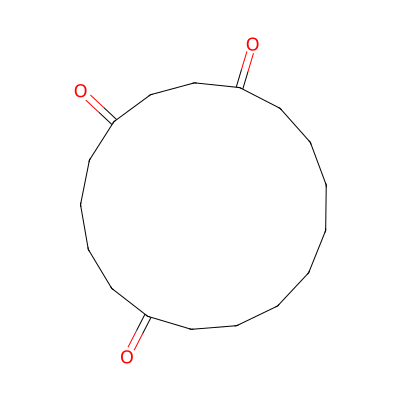 O=C1CCCCCCCCC(=O)CCC(=O)CCCC1